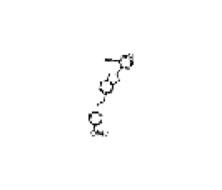 C#Cc1cnccc1C1Cc2ccc(CCc3ccc(OC)cc3)cc2C1